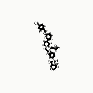 O=C(Nc1ccc2c(c1)nc(CN1CCC(c3cccc(OCc4ccc(Cl)cc4F)n3)CC1)n2CC1CCO1)C1COCCC1(F)F